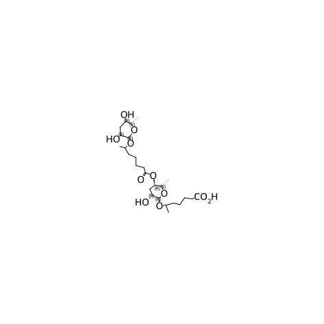 CC(CCCCC(=O)O[C@@H]1C[C@@H](O)[C@H](OC(C)CCCCC(=O)O)O[C@H]1C)O[C@@H]1O[C@@H](C)[C@H](O)C[C@H]1O